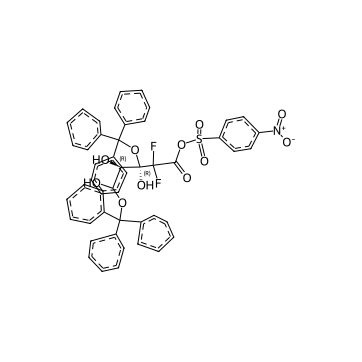 O=C(OS(=O)(=O)c1ccc([N+](=O)[O-])cc1)C(F)(F)[C@](O)(OC(c1ccccc1)(c1ccccc1)c1ccccc1)[C@H](O)C(O)OC(c1ccccc1)(c1ccccc1)c1ccccc1